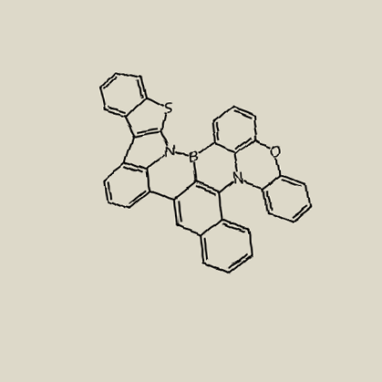 c1ccc2c(c1)Oc1cccc3c1N2c1c2c(cc4ccccc14)-c1cccc4c5c6ccccc6sc5n(c14)B32